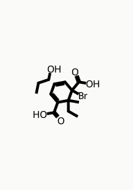 CCC1(C)C(C(=O)O)=CC=CC1(Br)C(=O)O.CCCO